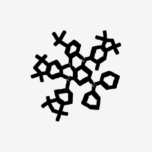 Cc1cc2c(cc1N1c3ccc(C(C)(C)C)cc3B3c4cc5c(cc4N(c4ccc6c(c4)C(C)(C)CC6(C)C)c4cc(N(c6ccccc6)c6ccccc6)cc1c43)C(C)(C)CC5(C)C)C(C)(C)CC2(C)C